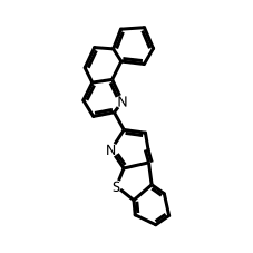 c1ccc2c(c1)ccc1ccc(-c3ccc4c(n3)sc3ccccc34)nc12